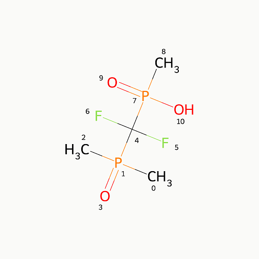 CP(C)(=O)C(F)(F)P(C)(=O)O